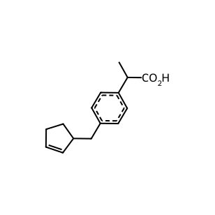 CC(C(=O)O)c1ccc(CC2C=CCC2)cc1